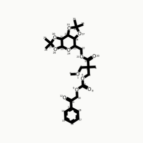 COCC(C)(COC(=O)OCC(=O)c1ccccc1)C(=O)OCC1OC2OC(C)(C)OC2C2OC(C)(C)OC12